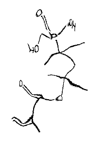 C=C(C)C(=O)OC(C)(C)CC(C)(C)P(=O)(O)O